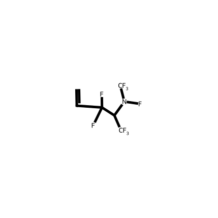 C=CC(F)(F)C(N(F)C(F)(F)F)C(F)(F)F